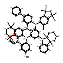 Cc1cc2c(cc1N1c3ccc(-c4ccccc4)cc3B3c4cc5c(cc4N(c4ccc(C(C)(C)C)cc4-c4ccccc4)c4cc(N6c7ccccc7C7(C)CCCCC67C)cc1c43)C(C)(C)CCC5(C)C)C(C)(C)CC2(C)C